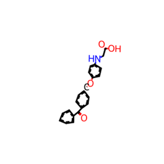 O=C(O)CNc1ccc(OCc2ccc(C(=O)c3ccccc3)cc2)cc1